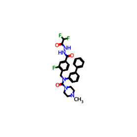 CN1CCN(C(=O)N(Cc2ccc(C(=O)NNC(=O)C(F)F)cc2F)c2cccc(-c3ccccc3)c2)CC1